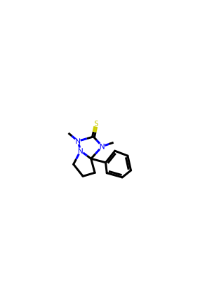 CN1C(=S)N(C)C2(c3ccccc3)CCCN12